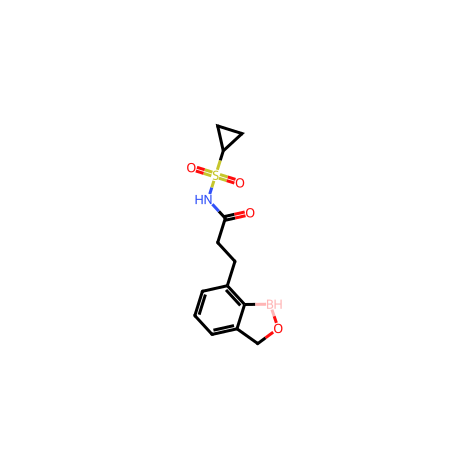 O=C(CCc1cccc2c1BOC2)NS(=O)(=O)C1CC1